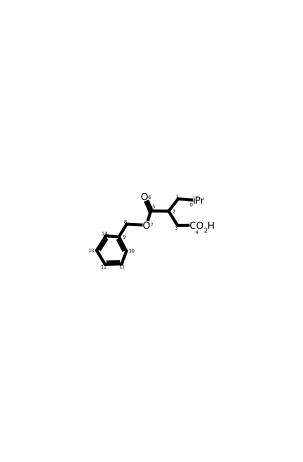 CC(C)CC(CC(=O)O)C(=O)OCc1ccccc1